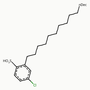 CCCCCCCCCCCCCCCCCCCCc1cc(Cl)ccc1S(=O)(=O)O